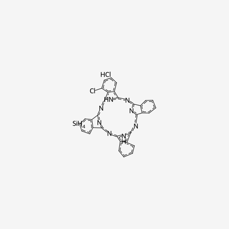 Cl.Clc1cccc2c3nc4nc(nc5[nH]c(nc6nc(nc([nH]3)c12)-c1ccccc1-6)c1ccccc51)-c1ccccc1-4.[SiH4]